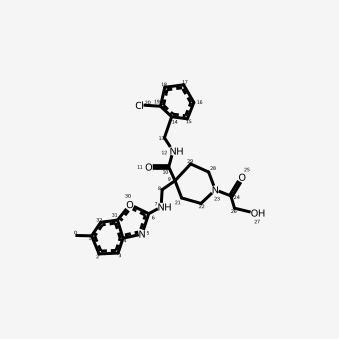 Cc1ccc2nc(NCC3(C(=O)NCc4ccccc4Cl)CCN(C(=O)CO)CC3)oc2c1